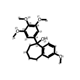 COc1ccc2c(c1)CCCCC2(O)c1cc(OC)c(OC)c(OC)c1